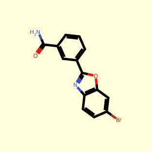 NC(=O)c1cccc(-c2nc3ccc(Br)cc3o2)c1